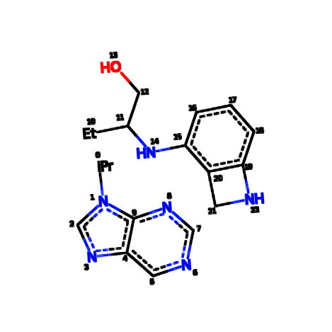 CC(C)n1cnc2cncnc21.CCC(CO)Nc1cccc2c1CN2